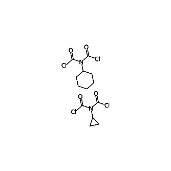 O=C(Cl)N(C(=O)Cl)C1CC1.O=C(Cl)N(C(=O)Cl)C1CCCCC1